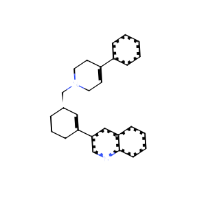 C1=C(c2cnc3ccccc3c2)CCC[C@H]1CN1CC=C(c2ccccc2)CC1